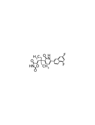 CCC(C=C1OC(=O)NC1=O)(CC)c1ccc(-c2ccc3c(F)cc(F)cc3c2)[nH]c1=O